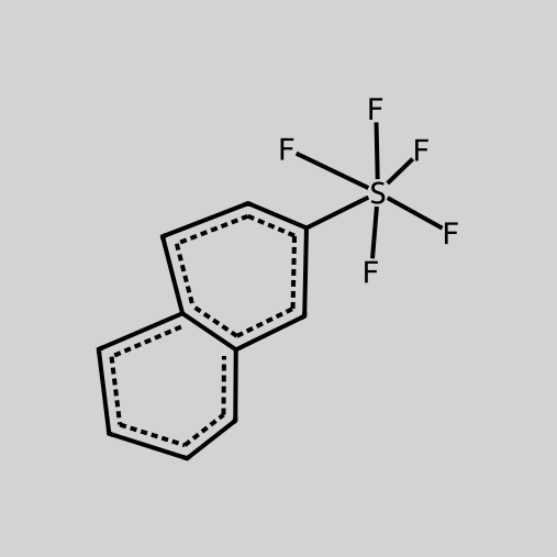 FS(F)(F)(F)(F)c1ccc2ccccc2c1